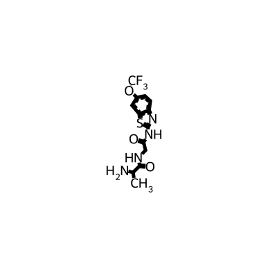 CC(N)C(=O)NCC(=O)Nc1nc2ccc(OC(F)(F)F)cc2s1